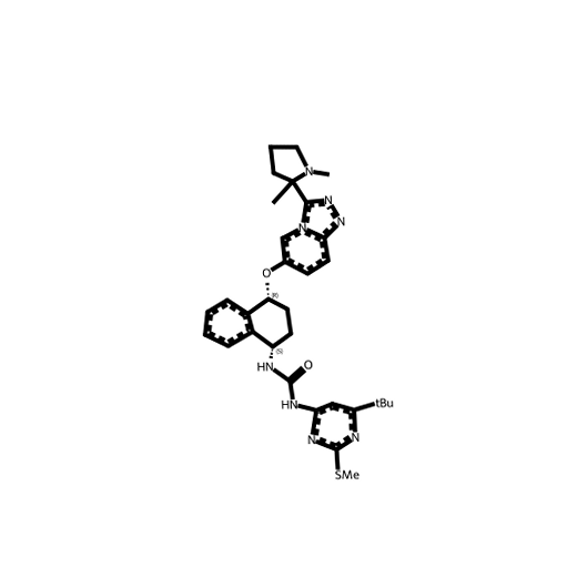 CSc1nc(NC(=O)N[C@H]2CC[C@@H](Oc3ccc4nnc(C5(C)CCCN5C)n4c3)c3ccccc32)cc(C(C)(C)C)n1